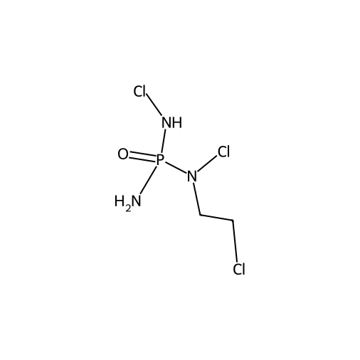 NP(=O)(NCl)N(Cl)CCCl